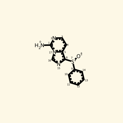 Nc1nccc2c([S+]([O-])c3ccccc3)ncn12